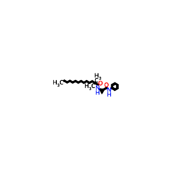 CCCCCCCCCCCCC(C)(C)C(=O)NC1CC1C(=O)Nc1ccccc1